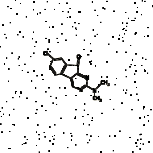 CN(C)c1ncc2c(n1)C(=O)c1cc(Cl)ccc1-2